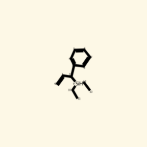 C=CC(c1ccccc1)[SiH](CC)CC